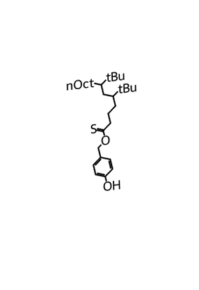 CCCCCCCCC(CC(CCCC(=S)OCc1ccc(O)cc1)C(C)(C)C)C(C)(C)C